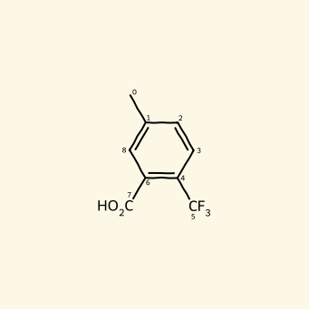 Cc1ccc(C(F)(F)F)c(C(=O)O)c1